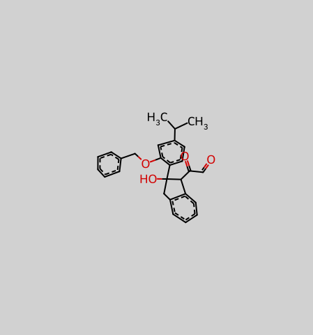 CC(C)c1ccc(C2(O)Cc3ccccc3C2C(=O)C=O)c(OCc2ccccc2)c1